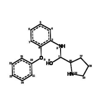 OC(Nc1ccccc1Oc1ccccc1)C1CCCN1